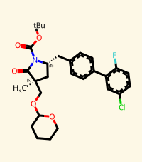 CC(C)(C)OC(=O)N1C(=O)[C@](C)(COC2CCCCO2)C[C@H]1Cc1ccc(-c2cc(Cl)ccc2F)cc1